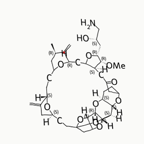 C=C1C[C@@H]2CCC34CC5O[C@H]6[C@@H](O3)[C@H]3OC(CC[C@@H]3O[C@H]6[C@H]5O4)CC(=O)C[C@H]3C(C[C@H]4OC(CC[C@@H]1O2)C[C@@H](C)C4=C)O[C@H](C[C@H](O)CN)[C@@H]3OC